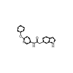 O=C(Cc1ccc2cc[nH]c2c1)Nc1ccc(Oc2ccccc2)nc1